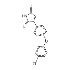 O=C1NC(=O)C(c2ccc(Oc3ccc(Cl)cc3)cc2)S1